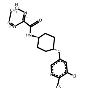 C/N=N\C(=N/C)C(=O)N[C@H]1CC[C@H](Oc2cnc(C#N)c(Cl)c2)CC1